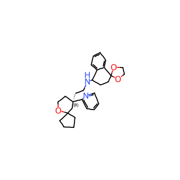 c1ccc([C@]2(CCNC3CCC4(OCCO4)c4ccccc43)CCOC3(CCCC3)C2)nc1